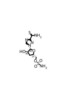 NC(=S)c1ncn([C@@H]2O[C@H](COS(N)(=O)=O)C[C@H]2O)n1